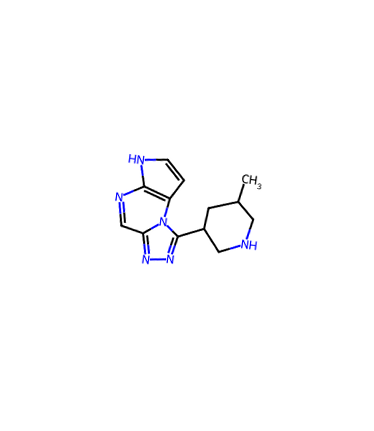 CC1CNCC(c2nnc3cnc4[nH]ccc4n23)C1